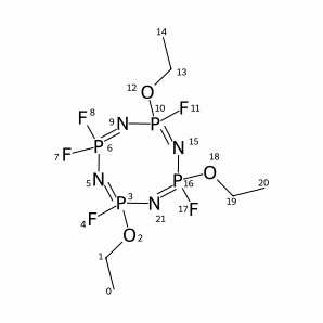 CCOP1(F)=NP(F)(F)=NP(F)(OCC)=NP(F)(OCC)=N1